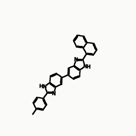 Cc1ccc(-c2nc3cc(-c4ccc5[nH]c(-c6cccc7ccccc67)nc5c4)ccc3[nH]2)cc1